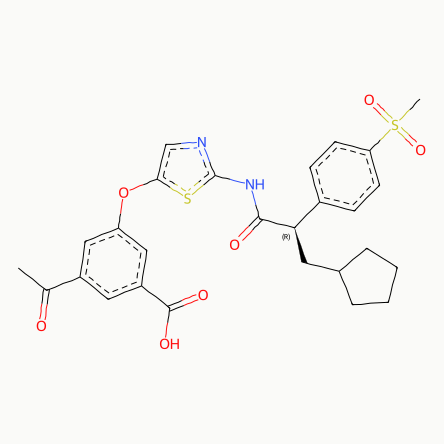 CC(=O)c1cc(Oc2cnc(NC(=O)[C@H](CC3CCCC3)c3ccc(S(C)(=O)=O)cc3)s2)cc(C(=O)O)c1